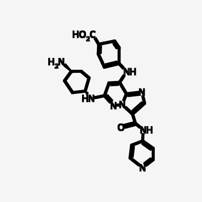 N[C@H]1CC[C@H](Nc2cc(Nc3ccc(C(=O)O)cc3)c3ncc(C(=O)Nc4ccncc4)n3n2)CC1